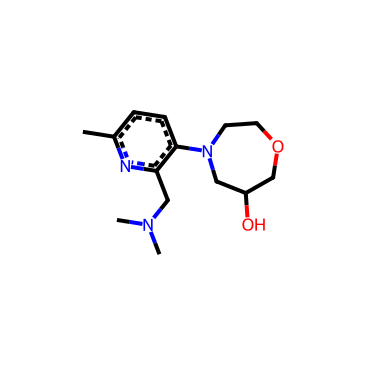 Cc1ccc(N2CCOCC(O)C2)c(CN(C)C)n1